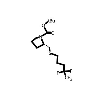 CC(C)(C)OC(=O)N1CCC[C@H]1CSCCCC(F)(F)C(F)(F)F